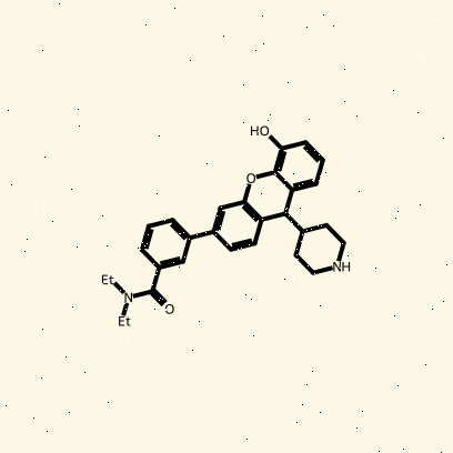 CCN(CC)C(=O)c1cccc(-c2ccc3c(c2)Oc2c(O)cccc2C3C2CCNCC2)c1